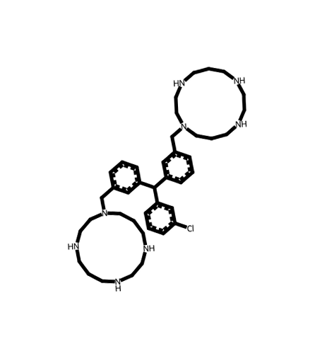 Clc1cccc(C(c2cccc(CN3CCCNCCNCCCNCC3)c2)c2cccc(CN3CCCNCCNCCCNCC3)c2)c1